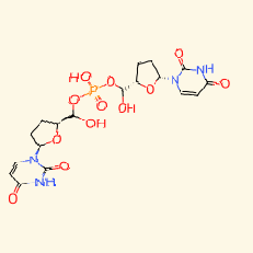 O=c1ccn([C@H]2CC[C@@H](C(O)OP(=O)(O)OC(O)[C@@H]3CC[C@H](n4ccc(=O)[nH]c4=O)O3)O2)c(=O)[nH]1